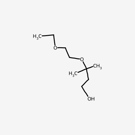 CCOCCOC(C)(C)CCO